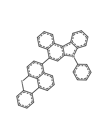 c1ccc(-n2c3ccccc3c3c4ccccc4c(-c4ccc5c6c(cccc46)-c4ccccc4S5)cc32)cc1